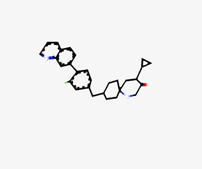 O=C1CNC2(CCC(Cc3ccc(-c4ccc5cccnc5c4)c(F)c3)CC2)CC1C1CC1